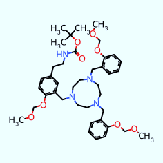 COCOc1ccccc1CN1CCN(Cc2ccccc2OCOC)CCN(Cc2cc(CCNC(=O)OC(C)(C)C)ccc2OCOC)CC1